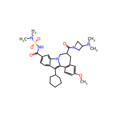 COc1ccc2c(c1)CC(C(=O)N1CC(N(C)C)C1)Cn1c-2c(C2CCCCC2)c2ccc(C(=O)NS(=O)(=O)N(C)C)cc21